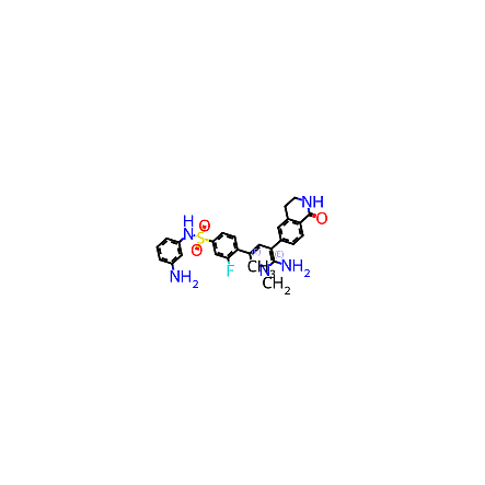 C=N/C(N)=C(\C=C(/C)c1ccc(S(=O)(=O)Nc2cccc(N)c2)cc1F)c1ccc2c(c1)CCNC2=O